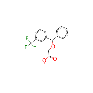 COC(=O)COC(c1ccccc1)c1cccc(C(F)(F)F)c1